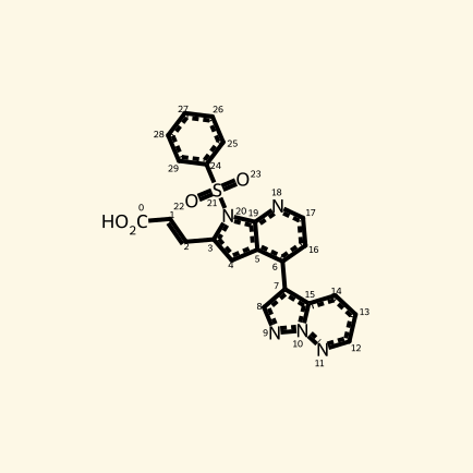 O=C(O)/C=C/c1cc2c(-c3cnn4ncccc34)ccnc2n1S(=O)(=O)c1ccccc1